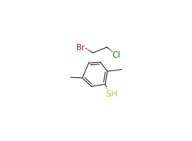 Cc1ccc(C)c(S)c1.ClCCBr